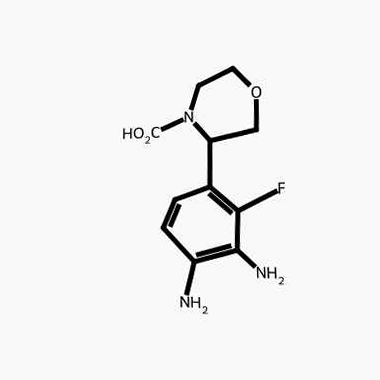 Nc1ccc(C2COCCN2C(=O)O)c(F)c1N